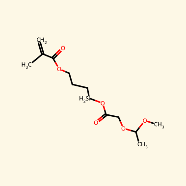 C=C(C)C(=O)OCCC[SiH2]OC(=O)COC(C)OC